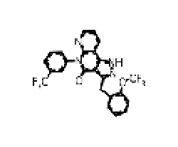 O=c1c2c(Cc3ccccc3OC(F)(F)F)n[nH]c2c2cccnc2n1-c1cccc(C(F)(F)F)c1